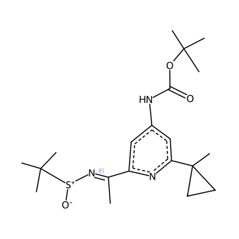 C/C(=N\[S+]([O-])C(C)(C)C)c1cc(NC(=O)OC(C)(C)C)cc(C2(C)CC2)n1